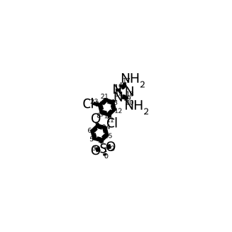 CS(=O)(=O)c1ccc(Oc2c(Cl)cc(-n3nc(N)nc3N)cc2Cl)cc1